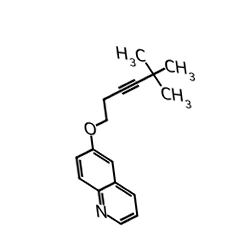 CC(C)(C)C#CCCOc1ccc2ncccc2c1